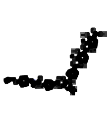 C#CCOc1ccc(/C=C(\C)C(=O)Nc2ccc(C(=O)N[C@@H](CC3(C)N=N3)C(=O)Nc3ccc(C(=O)Nc4ccc(C(=O)Nc5ccc(C(=O)O)c(O)c5OC)c(O)c4OC)cc3)cc2)cc1